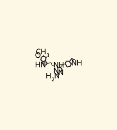 COc1ccc2c(CCNc3nc(N)ncc3Cc3ccc4[nH]ccc4c3)c[nH]c2c1